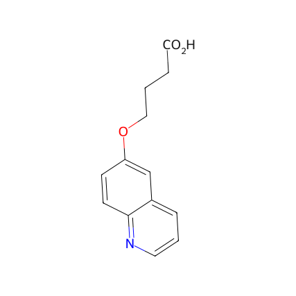 O=C(O)CCCOc1ccc2ncccc2c1